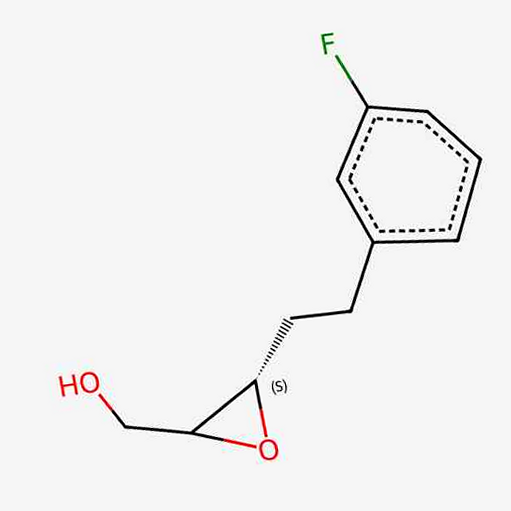 OCC1O[C@H]1CCc1cccc(F)c1